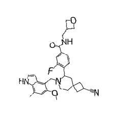 COc1cc(C)c2[nH]ccc2c1CN1CCC2(CC(C#N)C2)CC1c1ccc(C(=O)NCC2COC2)cc1F